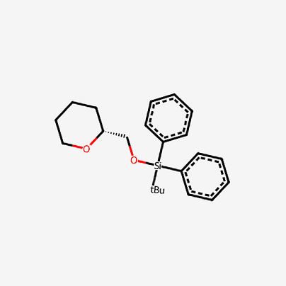 CC(C)(C)[Si](OC[C@H]1CCCCO1)(c1ccccc1)c1ccccc1